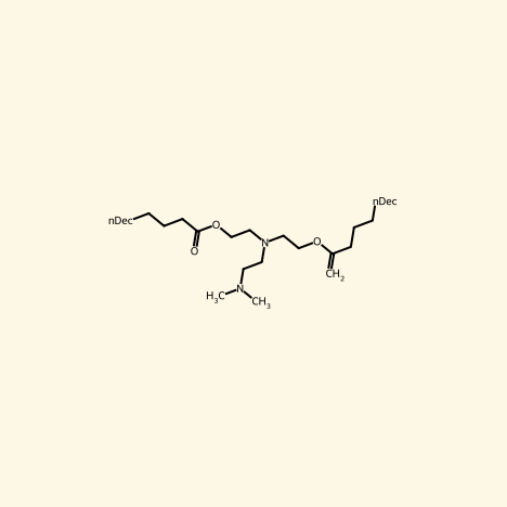 C=C(CCCCCCCCCCCCC)OCCN(CCOC(=O)CCCCCCCCCCCCC)CCN(C)C